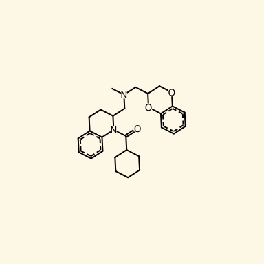 CN(CC1COc2ccccc2O1)CC1CCc2ccccc2N1C(=O)C1CCCCC1